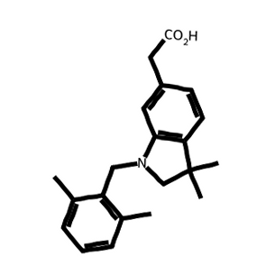 Cc1cccc(C)c1CN1CC(C)(C)c2ccc(CC(=O)O)cc21